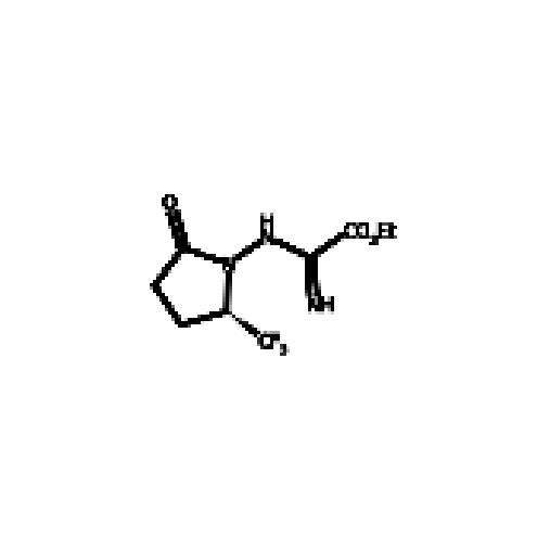 CCOC(=O)C(=N)NN1C(=O)CC[C@H]1C(F)(F)F